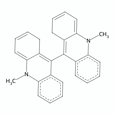 CN1C2=CC=CCC2=C(C2=C3CC=CC=C3N(C)c3ccccc32)c2ccccc21